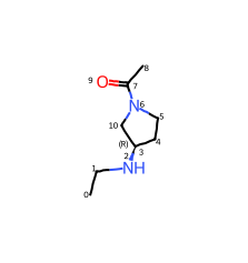 CCN[C@@H]1CCN(C(C)=O)C1